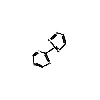 [c]1ncnc(-c2n[c]cnn2)n1